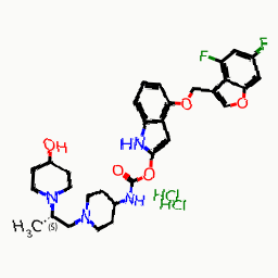 C[C@@H](CN1CCC(NC(=O)Oc2cc3c(OCc4coc5cc(F)cc(F)c45)cccc3[nH]2)CC1)N1CCC(O)CC1.Cl.Cl